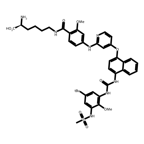 COc1cc(Nc2cc(Oc3ccc(NC(=O)Nc4cc(C(C)(C)C)cc(NS(C)(=O)=O)c4OC)c4ccccc34)ccn2)ccc1C(=O)NCCCC[C@H](N)C(=O)O